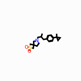 CC(Cc1ccc(C2(C)CC2)cc1)CN1CCC2(C1)CS(=O)(=O)C2